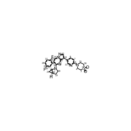 O=S1(=O)CCN(c2ccc(-c3cnn4ccc(N5CC[C@H]6C[C@]65c5cc(F)ccc5F)nc34)cn2)CC1